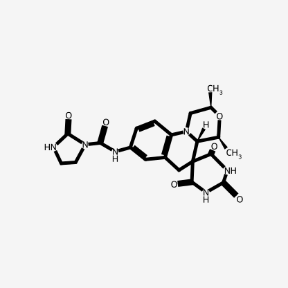 C[C@@H]1CN2c3ccc(NC(=O)N4CCNC4=O)cc3CC3(C(=O)NC(=O)NC3=O)[C@H]2[C@H](C)O1